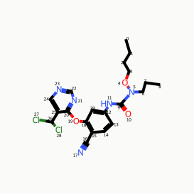 CCCCON(CCC)C(=O)Nc1ccc(C#N)c(Oc2ncncc2C(Cl)Cl)c1